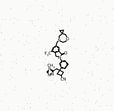 Cn1cnnc1CC1(c2cccc(N3Cc4c(cc(CN5CCOCC6(CC6)C5)cc4C(F)(F)F)C3=O)c2)CC(C#N)C1